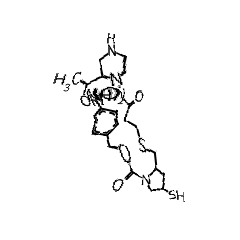 CC(O)C1CNCCN1NC(=O)CCSCC1CC(S)CN1C(=O)OCc1ccc([N+](=O)[O-])cc1